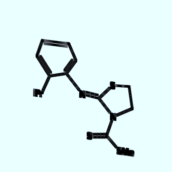 CSC(=S)N1CCSC1=Nc1ccccc1C(C)C